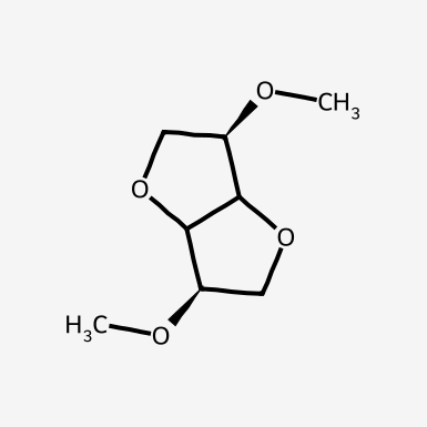 CO[C@@H]1COC2C1OC[C@H]2OC